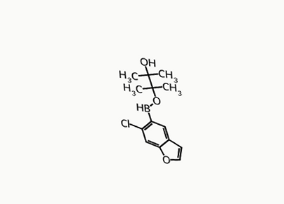 CC(C)(O)C(C)(C)OBc1cc2ccoc2cc1Cl